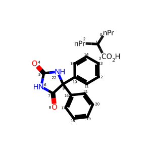 CCCC(CCC)C(=O)O.O=C1NC(=O)C(c2ccccc2)(c2ccccc2)N1